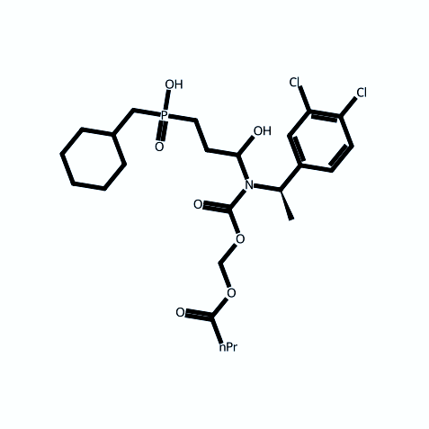 CCCC(=O)OCOC(=O)N(C(O)CCP(=O)(O)CC1CCCCC1)[C@H](C)c1ccc(Cl)c(Cl)c1